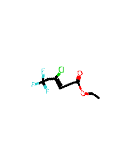 CCOC(=O)/C=C(\Cl)C(F)(F)F